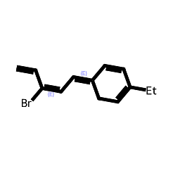 C=C/C(Br)=C\C=C1\C=CC(CC)=CC1